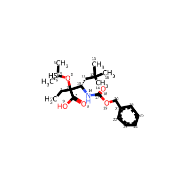 CCC(O[SiH](C)C)(C(=O)O)[C@H](CC(C)(C)C)NC(=O)OCc1ccccc1